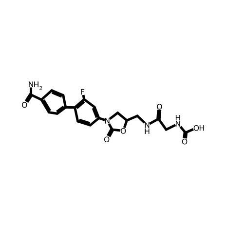 NC(=O)c1ccc(-c2ccc(N3CC(CNC(=O)CNC(=O)O)OC3=O)cc2F)cc1